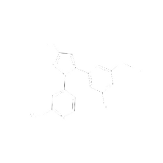 COc1cc(-n2nc(C(=O)O)cc2-c2cc(Br)cc(OC(F)(F)F)c2)ccn1